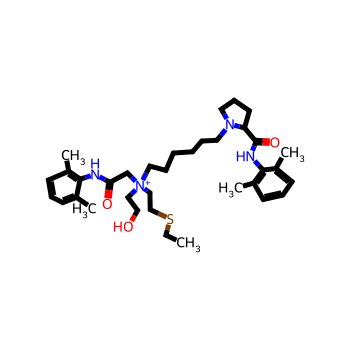 CCSCC[N+](CCO)(CCCCCCN1CCCC1C(=O)Nc1c(C)cccc1C)CC(=O)Nc1c(C)cccc1C